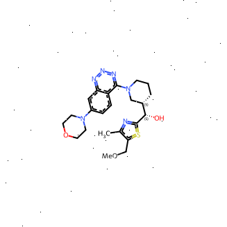 COCc1sc([C@@H](O)[C@H]2CCCN(c3nnnc4cc(N5CCOCC5)ccc34)C2)nc1C